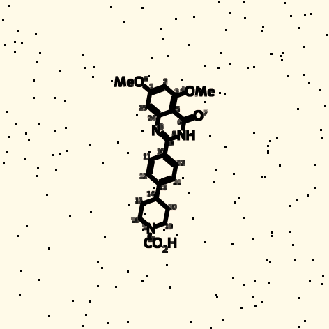 COc1cc(OC)c2c(=O)[nH]c(-c3ccc(C4CCN(C(=O)O)CC4)cc3)nc2c1